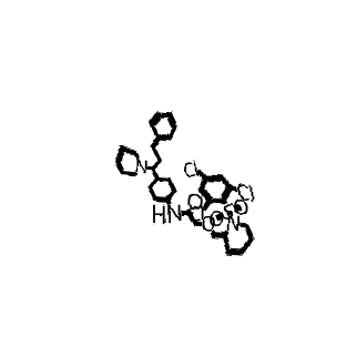 O=C(COCC1CCCCN1S(=O)(=O)c1c(Cl)cc(Cl)cc1Cl)NC1CCC(C(CCc2ccccc2)N2CCCCC2)CC1